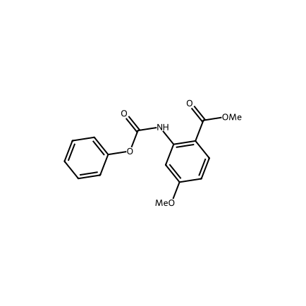 COC(=O)c1ccc(OC)cc1NC(=O)Oc1ccccc1